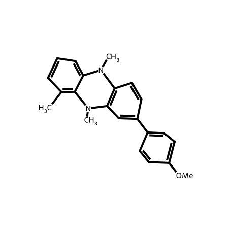 COc1ccc(-c2ccc3c(c2)N(C)c2c(C)cccc2N3C)cc1